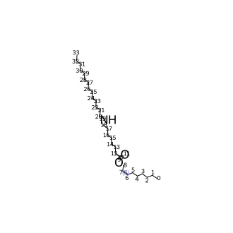 CCCCCC/C=C\COC(=O)CCCCCCCNCCCCCCCCCCCCCC